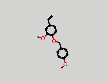 C=Cc1ccc(OCc2ccc(OC)cc2)c(OC)c1